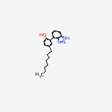 CCCCCCCCc1ccc(O)c(-c2cccc3[nH]nnc23)c1